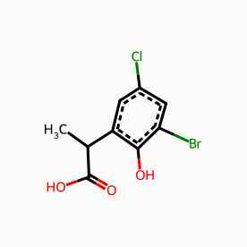 CC(C(=O)O)c1cc(Cl)cc(Br)c1O